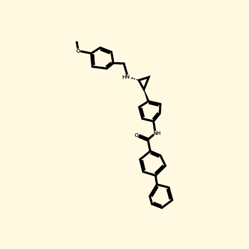 COc1ccc(CN[C@@H]2C[C@H]2c2ccc(NC(=O)c3ccc(-c4ccccc4)cc3)cc2)cc1